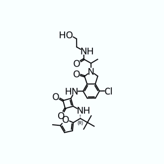 Cc1ccc([C@H](Nc2c(Nc3ccc(Cl)c4c3C(=O)N(C(C)C(=O)NCCO)C4)c(=O)c2=O)C(C)(C)C)o1